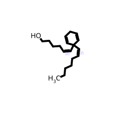 CCCCC/C=C\C1(/C=C\CCCCO)C=CCC=C1